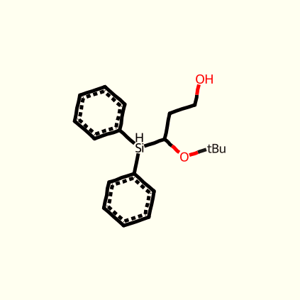 CC(C)(C)OC(CCO)[SiH](c1ccccc1)c1ccccc1